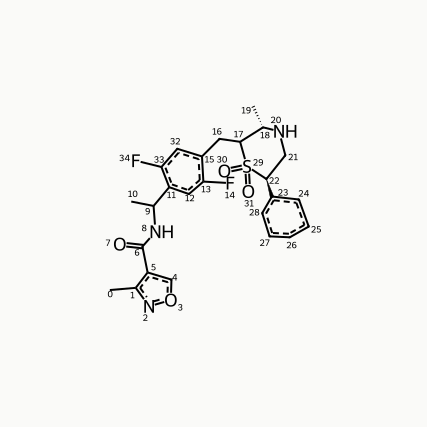 Cc1nocc1C(=O)NC(C)c1cc(F)c(CC2[C@H](C)NC[C@@H](c3ccccc3)S2(=O)=O)cc1F